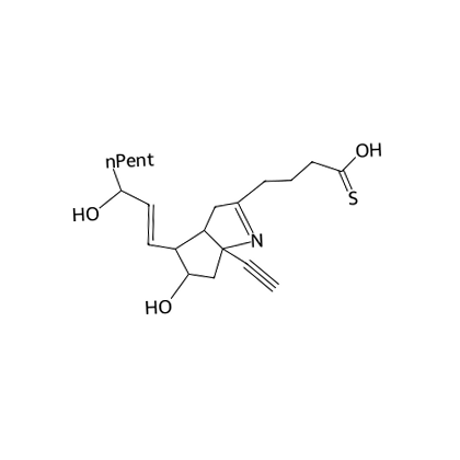 C#CC12CC(O)C(C=CC(O)CCCCC)C1CC(CCCC(O)=S)=N2